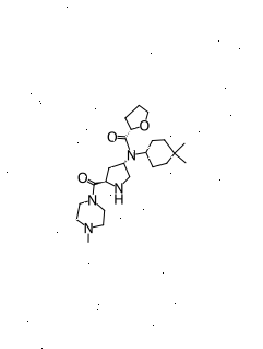 CN1CCN(C(=O)[C@H]2C[C@H](N(C(=O)[C@@H]3CCCO3)C3CCC(C)(C)CC3)CN2)CC1